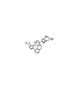 Cc1ccc(-c2cccc3c2C(C)N(C(=O)c2cc4n(n2)CC(Br)C=N4)CC3)o1